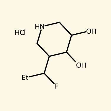 CCC(F)C1CNCC(O)C1O.Cl